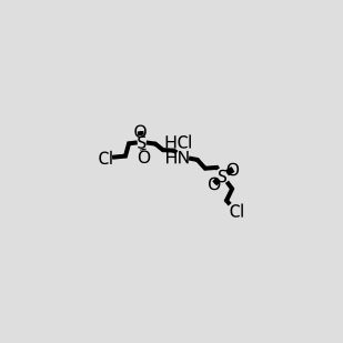 Cl.O=S(=O)(CCCl)CCCNCCCS(=O)(=O)CCCl